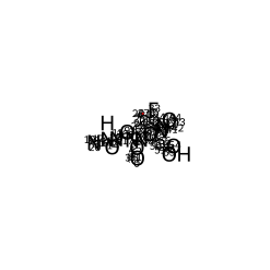 CO[C@@H](C)COc1nc(OC2CN(C(=O)NCCN(C)C)C2)c2cc(C3CC3)c(-c3c(C)c(F)cc4c3cnn4C3CCCCO3)c(OCc3ccc(C(=O)O)cc3)c2n1